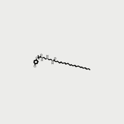 CCC=CCC=CCC=CCC=CCC=CCC=CCCC(=O)NCCNCCNC(=O)C(C)(C)Oc1ccc(Cl)cc1